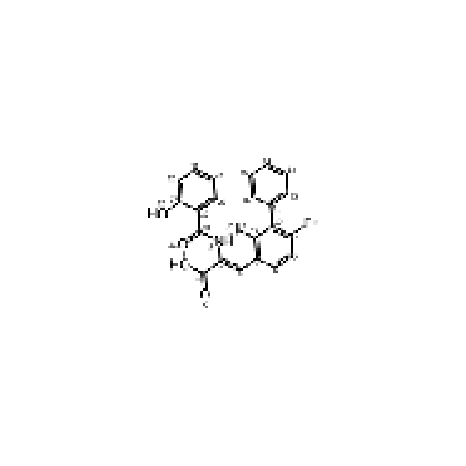 O=C(O)C(=Cc1ccc(F)c(-c2ccccc2)c1Cl)NC(=O)c1ccccc1O